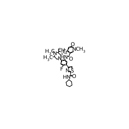 CC1CN(c2cc(F)c(-c3csc(C(=O)NC4CCCCC4)n3)cc2NC(=O)c2cn(C)c(=O)cc2C(F)(F)F)CC(C)N1C